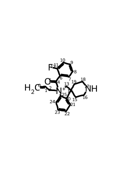 C=CC[N+]1(C(=O)c2ccccc2F)CC2(CCNCC2)c2ccccc21